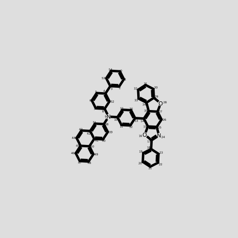 c1ccc(-c2cccc(N(c3ccc(-c4c5oc(-c6ccccc6)nc5cc5oc6ccccc6c45)cc3)c3ccc4c(ccc5ccccc54)c3)c2)cc1